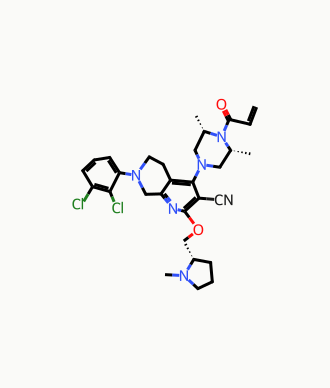 C=CC(=O)N1[C@H](C)CN(c2c(C#N)c(OC[C@@H]3CCCN3C)nc3c2CCN(c2cccc(Cl)c2Cl)C3)C[C@@H]1C